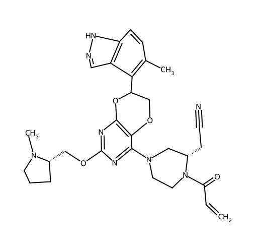 C=CC(=O)N1CCN(c2nc(OC[C@@H]3CCCN3C)nc3c2OCC(c2c(C)ccc4[nH]ncc24)O3)C[C@@H]1CC#N